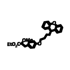 CCOC(=O)C(Cc1ccc(OCCCCC2c3ccccc3Oc3ccccc32)cc1)OC